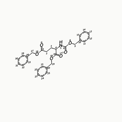 O=C(CCC(NC(=O)OCc1ccccc1)C(=O)OCc1ccccc1)OCc1ccccc1